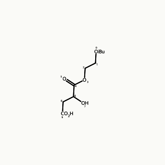 CC(C)COCCOC(=O)C(O)CC(=O)O